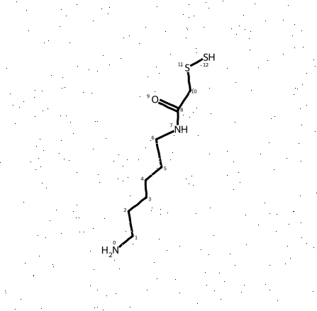 NCCCCCCNC(=O)CSS